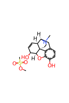 CN1CC[C@]23c4c5ccc(O)c4O[C@H]2[C@@H](O)C=C[C@H]3[C@H]1C5.COS(C)(=O)=O